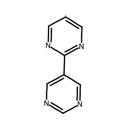 [c]1cnc(-c2cncnc2)nc1